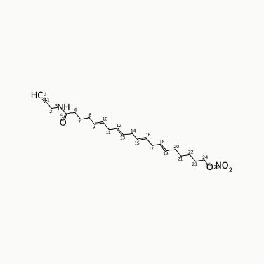 C#CCNC(=O)CCCC=CCC=CCC=CCC=CCCCCCO[N+](=O)[O-]